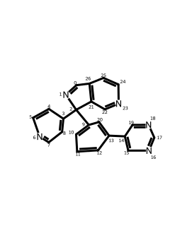 C1=NC(c2ccncc2)(c2cccc(-c3cncnc3)c2)c2cnccc21